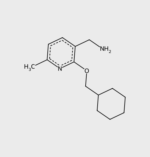 Cc1ccc(CN)c(OCC2CCCCC2)n1